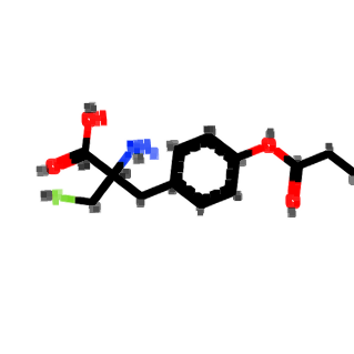 CCC(=O)Oc1ccc(CC(N)(CF)C(=O)O)cc1